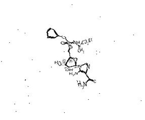 CCOC(=O)[C@H](C)NP(=O)(OC[C@H]1O[C@@H](n2cnc(C(N)=O)c2N)[C@H](O)[C@@H]1O)Oc1ccccc1